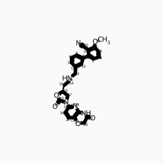 COc1cccc(-c2cccc(CNCC[C@H]3CN(c4ccc5c(n4)NC(=O)CO5)C(=O)O3)c2)c1C#N